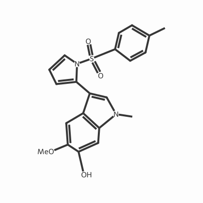 COc1cc2c(-c3cccn3S(=O)(=O)c3ccc(C)cc3)cn(C)c2cc1O